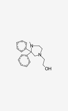 CN1CCN(CCO)CC1(c1ccccc1)c1ccccc1